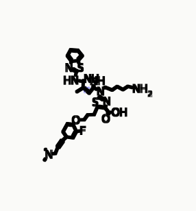 C/C(=C/C(=N)N(CCCCCN)c1nc(C(=O)O)c(CCCOC2=CCC(C#CCN(C)C)C=C2F)s1)C(=N)Nc1nc2ccccc2s1